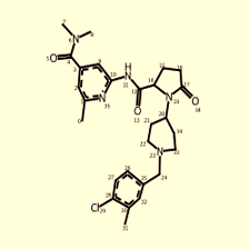 Cc1cc(C(=O)N(C)C)cc(NC(=O)C2CCC(=O)N2C2CCN(Cc3ccc(Cl)c(C)c3)CC2)n1